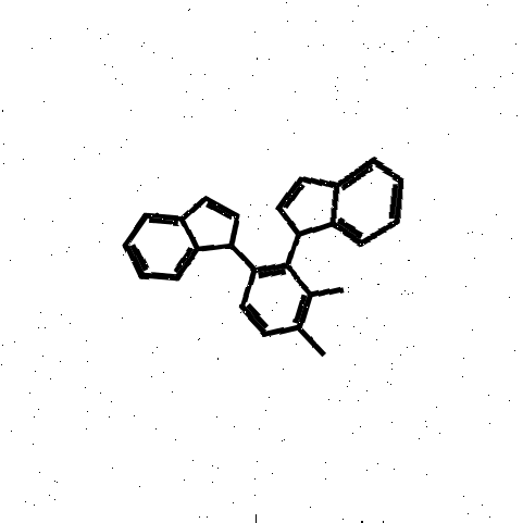 Cc1ccc(C2C=Cc3ccccc32)c(C2C=Cc3ccccc32)c1C